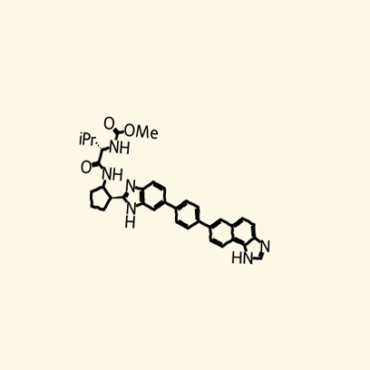 COC(=O)N[C@H](C(=O)NC1CCC[C@@H]1c1nc2ccc(-c3ccc(-c4ccc5c(ccc6nc[nH]c65)c4)cc3)cc2[nH]1)C(C)C